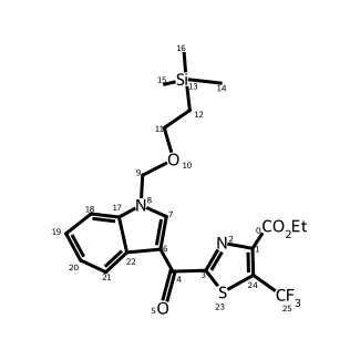 CCOC(=O)c1nc(C(=O)c2cn(COCC[Si](C)(C)C)c3ccccc23)sc1C(F)(F)F